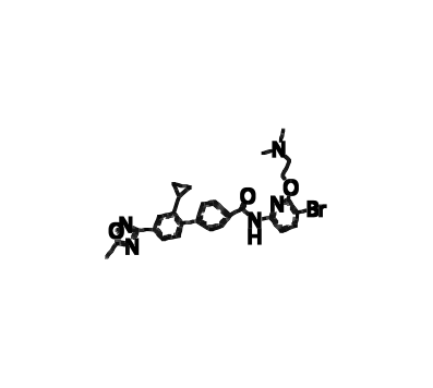 Cc1nc(-c2ccc(-c3ccc(C(=O)Nc4ccc(Br)c(OCCN(C)C)n4)cc3)c(C3CC3)c2)no1